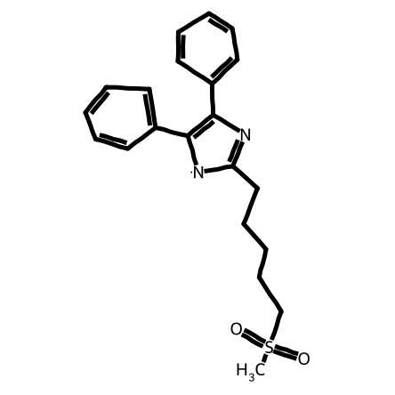 CS(=O)(=O)CCCCCC1=NC(c2ccccc2)=C(c2ccccc2)[N]1